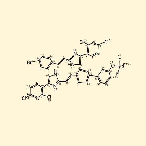 Clc1ccc(-c2c[nH]c(/C=C/c3ccc(Br)cc3)n2)c(Cl)c1.FC(F)(F)Oc1cccc(-c2ccc(/C=C/c3nc(-c4ccc(Cl)cc4Cl)c[nH]3)cc2)c1